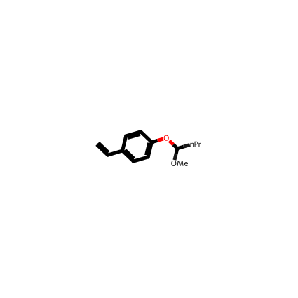 C=Cc1ccc(OC(CCC)OC)cc1